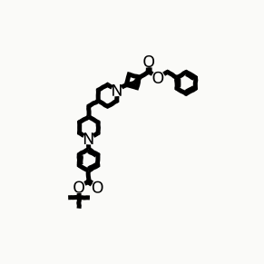 CC(C)(C)OC(=O)c1ccc(N2CCC(CC3CCN(C45CC(C(=O)OCc6ccccc6)(C4)C5)CC3)CC2)cc1